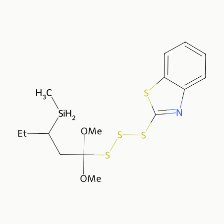 CCC(CC(OC)(OC)SSSc1nc2ccccc2s1)[SiH2]C